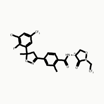 Cc1cc(C2=NOC(C)(c3cc(C(F)(F)F)cc(Cl)c3F)C2)ccc1C(=O)N[C@@H]1CON(CC(F)(F)F)C1=O